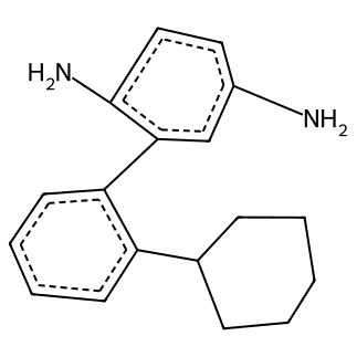 Nc1ccc(N)c(-c2ccccc2C2CCCCC2)c1